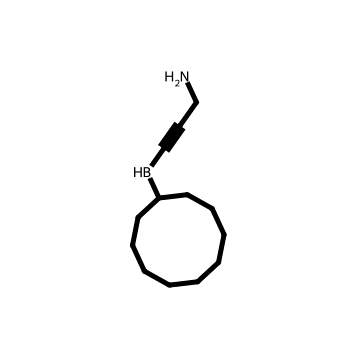 NCC#CBC1CCCCCCCCC1